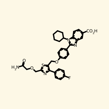 NC(=O)COCc1nc(-c2ccc(F)cc2)c(COc2ccc(-c3nc4cc(C(=O)O)ccc4n3C3CCCCC3)cc2)s1